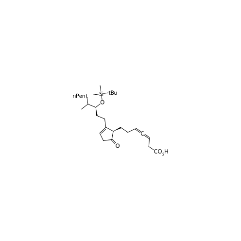 CCCCCC(C)[C@H](CCC1=CCC(=O)[C@@H]1CCC=C=CCC(=O)O)O[Si](C)(C)C(C)(C)C